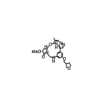 CO[C@@H]1C[C@H]2COC3Nc4c(cnn4C=C3C)-c3cc(cc(OCC4CCOC4)c3)NCCN2C1=O